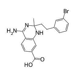 CC1(CCc2cccc(Br)c2)N=C(N)c2ccc(C(=O)O)cc2N1